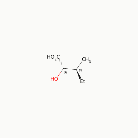 CC[C@H](C)[C@H](O)C(=O)O